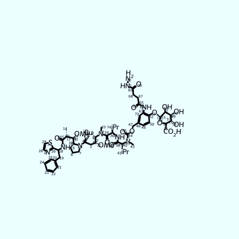 CCC(C)[C@@H]([C@@H](CC(=O)N1CCC[C@H]1[C@H](OC)[C@@H](C)C(=O)NC(Cc1ccccc1)c1nccs1)OC)N(C)C(=O)C(NC(=O)[C@H](C(C)C)N(C)C(=O)OCc1ccc(O[C@@H]2OC(C(=O)O)[C@@H](O)[C@H](O)C2O)c(NC(=O)CCC(=O)NN)c1)C(C)C